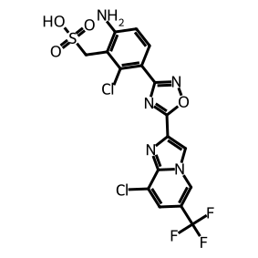 Nc1ccc(-c2noc(-c3cn4cc(C(F)(F)F)cc(Cl)c4n3)n2)c(Cl)c1CS(=O)(=O)O